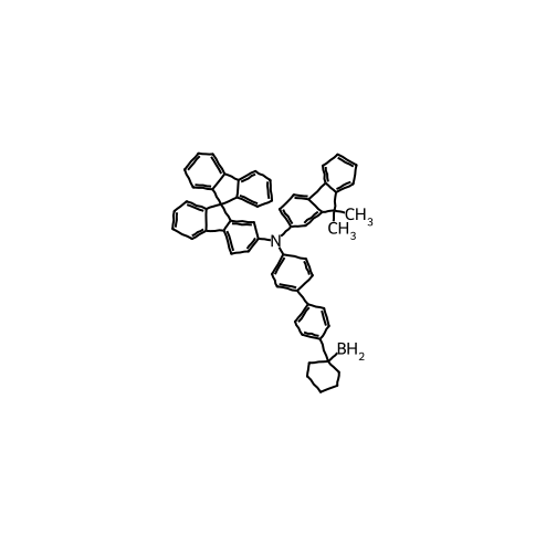 BC1(c2ccc(-c3ccc(N(c4ccc5c(c4)C(C)(C)c4ccccc4-5)c4ccc5c(c4)C4(c6ccccc6-c6ccccc64)c4ccccc4-5)cc3)cc2)CCCCC1